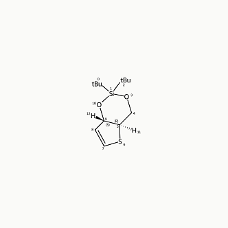 CC(C)(C)[Si]1(C(C)(C)C)OC[C@H]2SC=C[C@@H]2O1